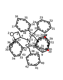 O=C1OCC1N([Si](c1ccccc1)(c1ccccc1)c1ccccc1)[Si](c1ccccc1)(c1ccccc1)c1ccccc1